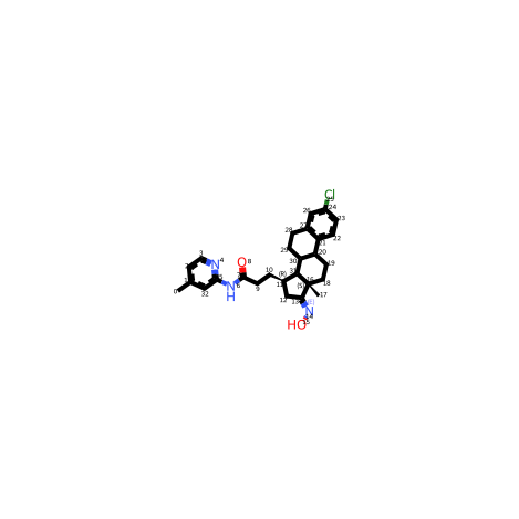 Cc1ccnc(NC(=O)CC[C@@H]2C/C(=N\O)[C@@]3(C)CCC4c5ccc(Cl)cc5CCC4C23)c1